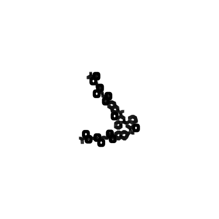 C=C(C)C(=O)OCCOC(=O)CCC(=O)Oc1ccc2cc(C(C)C3=C/C(=C4/C=C(C(C)c5ccc6cc(OC(=O)CCC(=O)OCCOC(=O)C(=C)C)ccc6c5)C(=O)c5ccccc54)c4ccccc4C3=O)ccc2c1